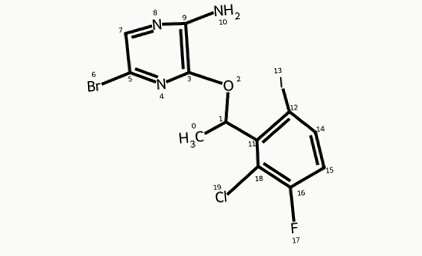 CC(Oc1nc(Br)cnc1N)c1c(I)ccc(F)c1Cl